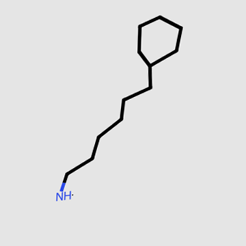 [NH]CCCCCCC1CCCCC1